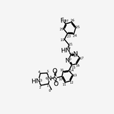 C[C@H]1CNCCN1S(=O)(=O)c1cccc(-c2ccnc(NCCc3cccc(F)c3)n2)c1